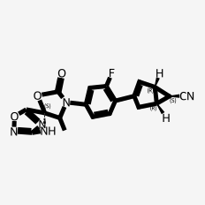 CC1N(c2ccc(C3=C[C@@H]4[C@@H](C#N)[C@@H]4C3)c(F)c2)C(=O)O[C@@]12Nc1noc2n1